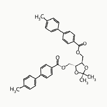 Cc1ccc(-c2ccc(C(=O)OC[C@H]3OC(C)(C)O[C@@H]3COC(=O)c3ccc(-c4ccc(C)cc4)cc3)cc2)cc1